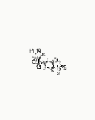 CN1C(=S)COc2cc(N3C(=O)OCC3CN)ccc21